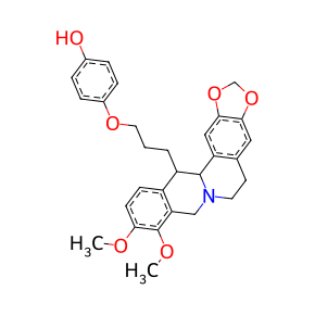 COc1ccc2c(c1OC)CN1CCc3cc4c(cc3C1C2CCCOc1ccc(O)cc1)OCO4